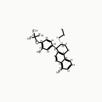 CCC[C@@H]1CCc2c(ccc3c(F)cccc23)[C@H]1c1ccc(OC(F)(F)F)c(F)c1